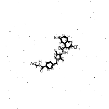 CC(=O)CNC(=O)c1ccc(Cn2nc(C)c(NC(=O)c3cc(C(F)(F)F)nc4ccc(Br)cc34)c2C)cc1